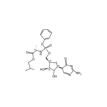 CC(C)COC(=O)[C@H](C)NP(=O)(OC[C@H]1S[C@@H](n2cnc(N)nc2=O)C(O)[C@H]1O)Oc1ccccc1